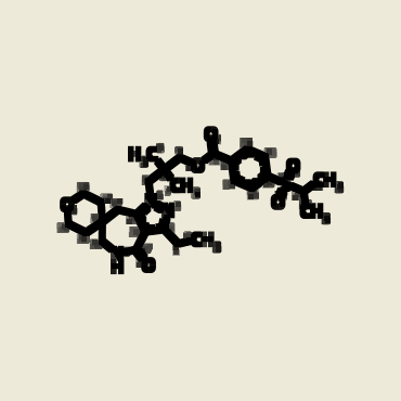 CCc1nn(CC(C)(C)COC(=O)c2ccc(S(=O)(=O)C(C)C)cc2)c2c1C(=O)NCC1(CCOCC1)C2